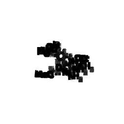 CC=C(OCC)N(Cc1ccc(CP(=O)(OCC)OCC)cc1)c1cc(OCCOC)nc(N)c1N